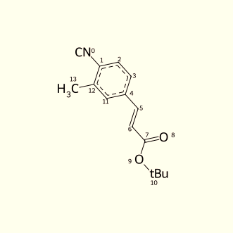 [C-]#[N+]c1ccc(/C=C/C(=O)OC(C)(C)C)cc1C